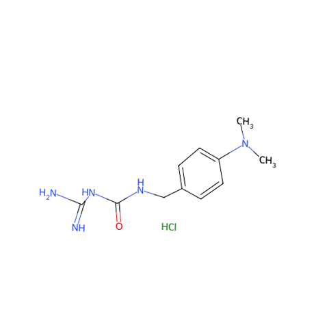 CN(C)c1ccc(CNC(=O)NC(=N)N)cc1.Cl